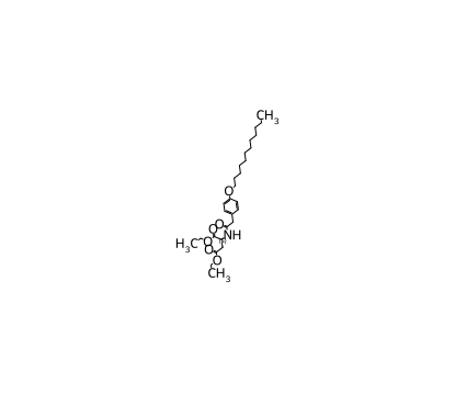 CCCCCCCCCCCCOc1ccc(CC(=O)N[C@@H](CC(=O)OCC)C(=O)OCC)cc1